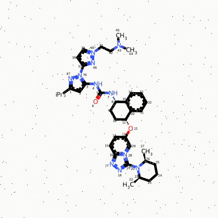 CC(C)c1cc(NC(=O)N[C@H]2CC[C@@H](Oc3ccc4nnc(N5[C@H](C)CCC[C@@H]5C)n4c3)c3ccccc32)n(-c2ccn(CCN(C)C)n2)n1